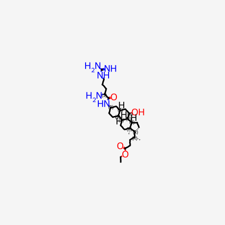 CCOC(=O)CC[C@@H](C)[C@H]1CC[C@H]2[C@@H]3[C@H](O)C[C@@H]4C[C@H](NC(=O)[C@@H](N)CCCNC(=N)N)CC[C@]4(C)[C@H]3CC[C@]12C